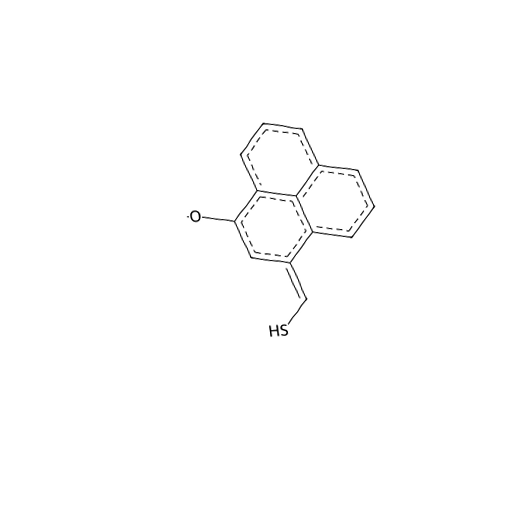 [O]c1cc(=CS)c2cccc3cccc1c32